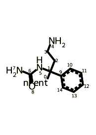 CCCCCC(CCN)(NC(N)=O)c1ccccc1